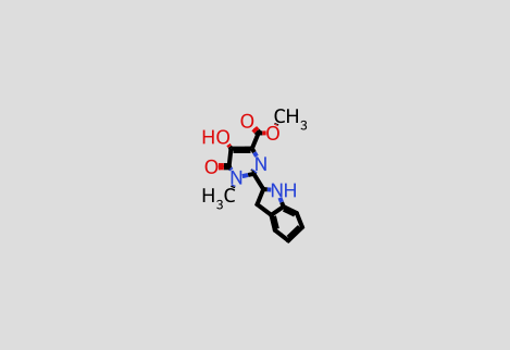 COC(=O)c1nc(C2Cc3ccccc3N2)n(C)c(=O)c1O